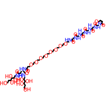 O=C(CC[C@H](NC(=O)CCOCCOCCOCCOCCOCCOCCOCCOCCNC(=O)CNC(=O)CNC(=O)CNC(=O)CNC(=O)CNC(=O)CN1C(=O)C=CC1=O)C(=O)NC[C@H](O)[C@@H](O)[C@H](O)CCO)NC[C@H](O)[C@@H](O)[C@H](O)CCO